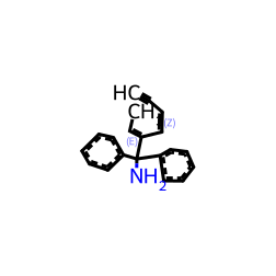 C#C/C=C\C(=C/C)C(N)(c1ccccc1)c1ccccc1